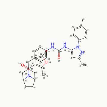 Cc1ccc(-n2nc(C(C)(C)C)cc2NC(=O)Nc2ccc(CC3CC4CCC(C3)N4C(=O)c3cc(C)oc3C(F)(F)F)cc2)cc1